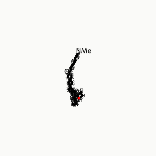 CNCCOCCOCCOCCC(=O)N1CCN(c2ccc(-c3ccc4c(c3)C(=O)N(C(C(=O)Nc3nccs3)c3cc(F)ccc3O)C4)cc2)CC1